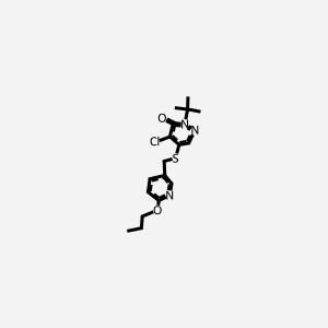 CCCOc1ccc(CSc2cnn(C(C)(C)C)c(=O)c2Cl)cn1